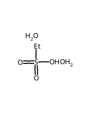 CCS(=O)(=O)O.O.O